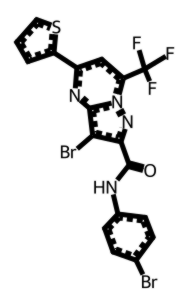 O=C(Nc1ccc(Br)cc1)c1nn2c(C(F)(F)F)cc(-c3cccs3)nc2c1Br